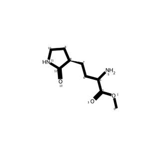 COC(=O)C(N)CC[C@@H]1CCNC1=O